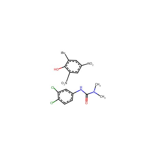 CCC(C)c1cc([N+](=O)[O-])cc([N+](=O)[O-])c1O.CN(C)C(=O)Nc1ccc(Cl)c(Cl)c1